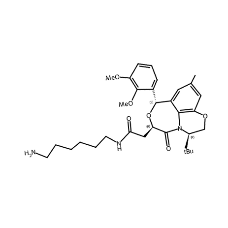 COc1cccc([C@H]2O[C@H](CC(=O)NCCCCCCN)C(=O)N3c4c(cc(C)cc42)OC[C@H]3C(C)(C)C)c1OC